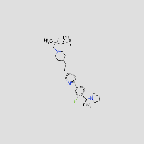 C=C(c1ccc(-c2ccc(CCC3CCN(CC(C)(CC)CC)CC3)cn2)cc1F)N1CCCC1